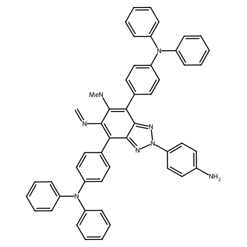 C=Nc1c(NC)c(-c2ccc(N(c3ccccc3)c3ccccc3)cc2)c2nn(-c3ccc(N)cc3)nc2c1-c1ccc(N(c2ccccc2)c2ccccc2)cc1